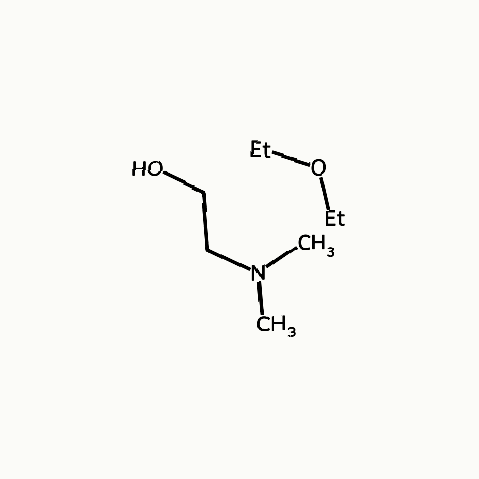 CCOCC.CN(C)CCO